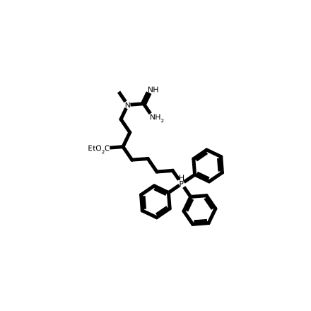 CCOC(=O)C(CCCC[PH](c1ccccc1)(c1ccccc1)c1ccccc1)CCN(C)C(=N)N